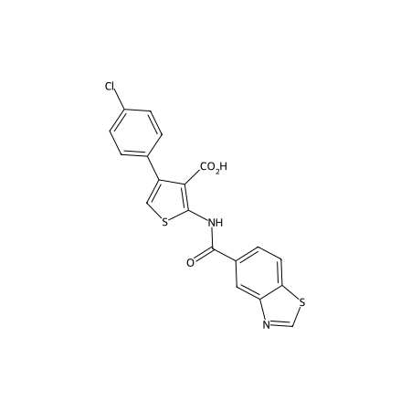 O=C(Nc1scc(-c2ccc(Cl)cc2)c1C(=O)O)c1ccc2scnc2c1